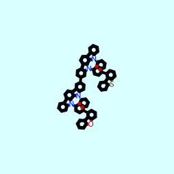 c1ccc(-n2c3ccc(-c4ccc5c6ccc7c8ccccc8n(-c8ccccc8)c7c6n(-c6ccc(-c7cccc8sc9ccccc9c78)cc6)c5c4)cc3c3ccc4c5ccccc5n(-c5ccc(-c6cccc7oc8ccccc8c67)cc5)c4c32)cc1